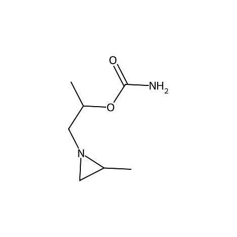 CC(CN1CC1C)OC(N)=O